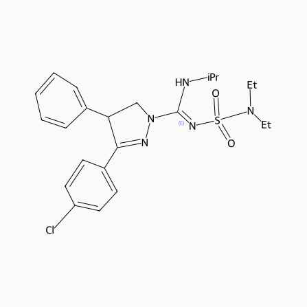 CCN(CC)S(=O)(=O)/N=C(\NC(C)C)N1CC(c2ccccc2)C(c2ccc(Cl)cc2)=N1